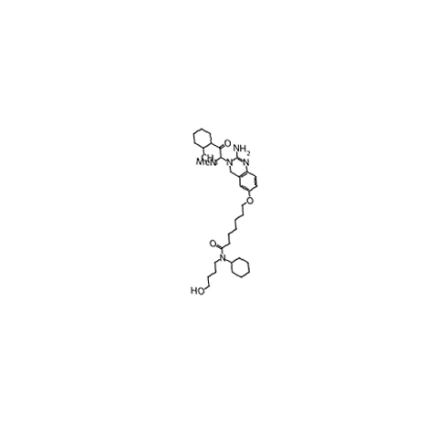 CNC(C(=O)C1CCCCC1C)N1Cc2cc(OCCCCCCC(=O)N(CCCCO)C3CCCCC3)ccc2N=C1N